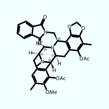 COc1c(C)cc2c(c1OC(C)=O)[C@H]1[C@@H]3Cc4c(OC(C)=O)c(C)c5c(c4[C@H](CN4C(=O)c6ccccc6C4=O)N3[C@@H](C#N)[C@H](C2)N1C)OCO5